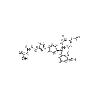 C=CCN1C[C@H](C)N([C@H](c2ccc(-c3nc(CCN(C)CC(=O)O)cs3)cc2)c2cccc(O)c2)C[C@H]1C